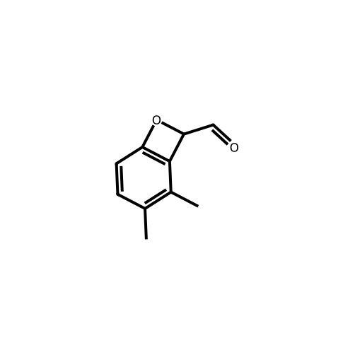 Cc1ccc2c(c1C)C(C=O)O2